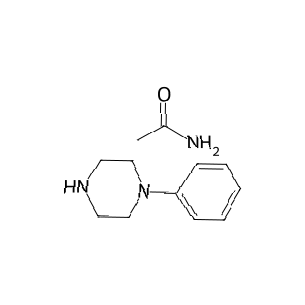 CC(N)=O.c1ccc(N2CCNCC2)cc1